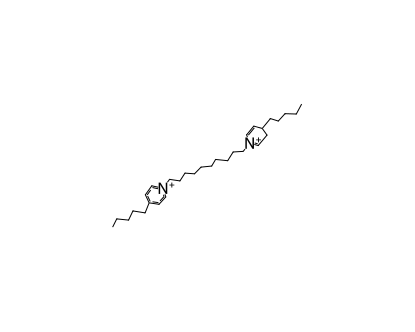 CCCCCc1cc[n+](CCCCCCCCCC[N+]2=CCC(CCCCC)C=C2)cc1